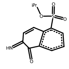 CC(C)OS(=O)(=O)c1cccc2c1C=CC(=N)C2=O